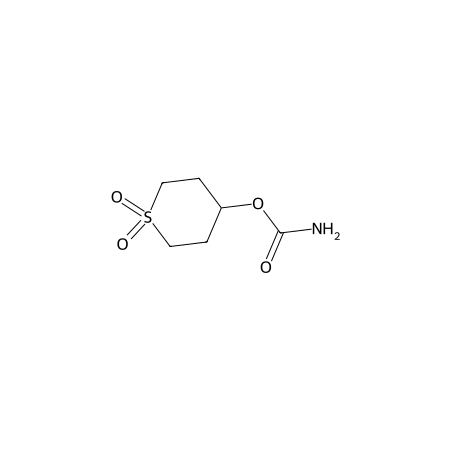 NC(=O)OC1CCS(=O)(=O)CC1